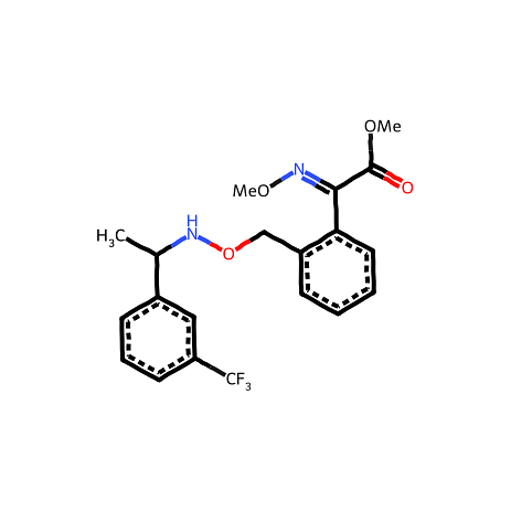 CO/N=C(/C(=O)OC)c1ccccc1CONC(C)c1cccc(C(F)(F)F)c1